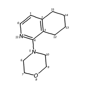 c1cc2c(c(N3CCOCC3)n1)CCCC2